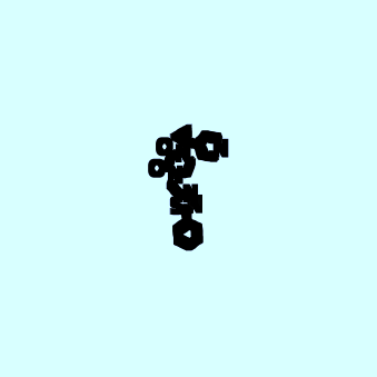 O=C1C(=O)N(C2(c3ccncc3)CC2)CCN1Cc1nnc(-c2ccccc2)s1